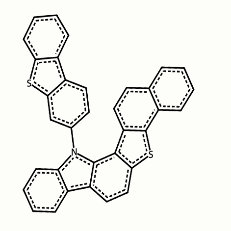 c1ccc2c(c1)ccc1c2sc2ccc3c4ccccc4n(-c4ccc5c(c4)sc4ccccc45)c3c21